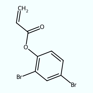 C=CC(=O)Oc1ccc(Br)cc1Br